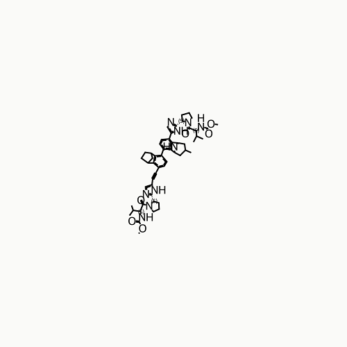 COC(=O)N[C@H](C(=O)N1CCC[C@H]1c1ncc(C#Cc2ccc(-c3ccc(-c4cnc([C@@H]5CCCN5C(=O)[C@@H](NC(=O)OC)C(C)C)[nH]4)c4c3C3CC(C)CC4N3)c3c2C2CCC3C2)[nH]1)C(C)C